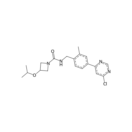 Cc1cc(-c2cc(Cl)ncn2)ccc1CNC(=O)N1CC(OC(C)C)C1